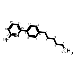 CCCCCCc1ccc(-c2cccc(F)n2)cc1